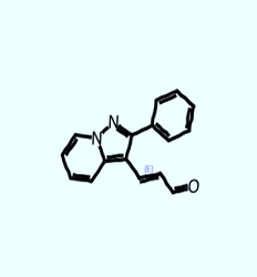 O=C/C=C/c1c(-c2ccccc2)nn2ccccc12